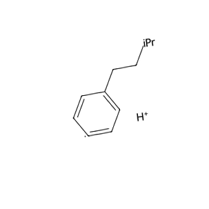 CC(C)CCc1cc[c]cc1.[H+]